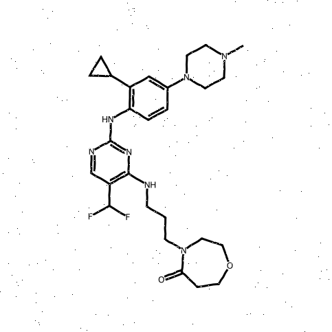 CN1CCN(c2ccc(Nc3ncc(C(F)F)c(NCCCN4CCOCCC4=O)n3)c(C3CC3)c2)CC1